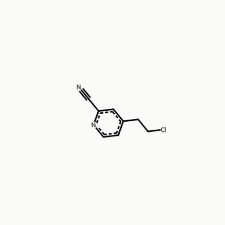 N#Cc1cc(CCCl)ccn1